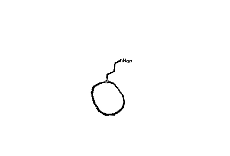 CCCCCCCCCCCCN1CCCCCCCCCCCC1